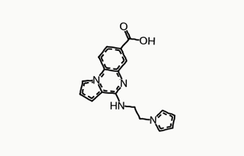 O=C(O)c1ccc2c(c1)nc(NCCn1cccc1)c1cccn12